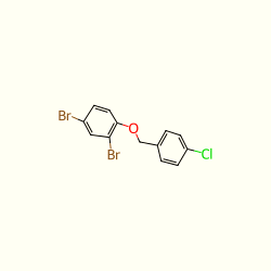 Clc1ccc(COc2ccc(Br)cc2Br)cc1